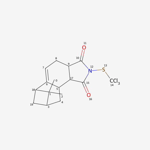 CC1(C)C2CC3C(=CCC4C(=O)N(SC(Cl)(Cl)Cl)C(=O)C43)C1C2